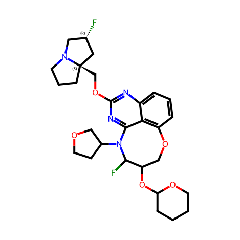 FC1C(OC2CCCCO2)COc2cccc3nc(OC[C@@]45CCCN4C[C@H](F)C5)nc(c23)N1C1CCOC1